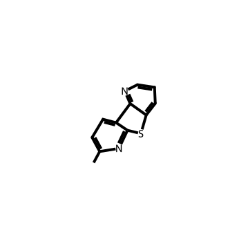 Cc1ccc2c(n1)sc1cccnc12